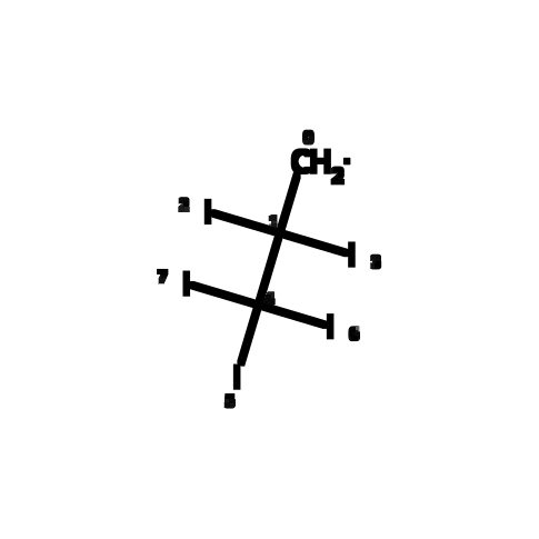 [CH2]C(I)(I)C(I)(I)I